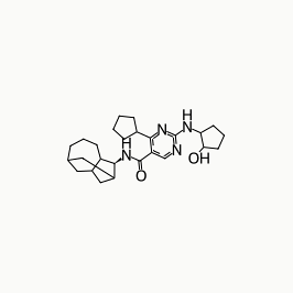 O=C(N[C@H]1C2CC3CCCC1C(C3)C2)c1cnc(NC2CCCC2O)nc1C1CCCC1